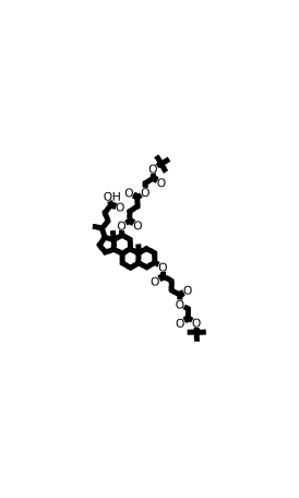 CC(CCC(=O)O)C1CCC2C3CCC4CC(OC(=O)CCC(=O)OCC(=O)OC(C)(C)C)CCC4(C)C3CC(OC(=O)CCC(=O)OCC(=O)OC(C)(C)C)C12C